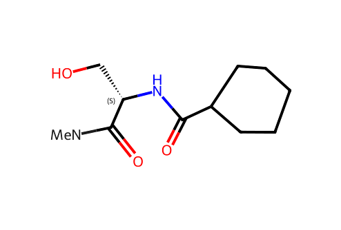 CNC(=O)[C@H](CO)NC(=O)C1CCCCC1